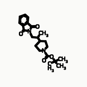 CC(CN1C(=O)c2ccccc2C1=O)C1CCN(C(=O)OC(C)(C)C)CC1